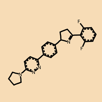 Fc1cccc(F)c1C1=NC(c2ccc(-c3ccc(N4CCCC4)nn3)cc2)CC1